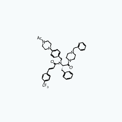 CC(=O)N1CCN(c2ccc(CN(C(=O)C=Cc3ccc(C(F)(F)F)cc3)[C@@H](Cc3ccccc3)C(=O)N3CCN(Cc4ccccc4)CC3)cc2)CC1